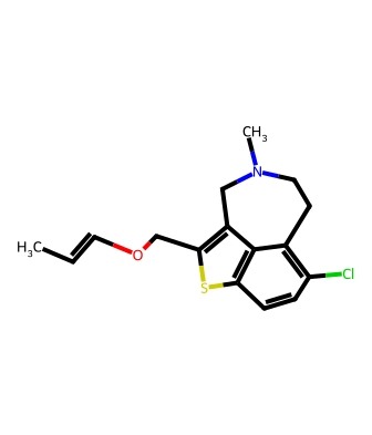 CC=COCc1sc2ccc(Cl)c3c2c1CN(C)CC3